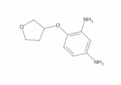 Nc1ccc(OC2CCOC2)c(N)c1